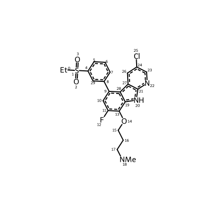 CCS(=O)(=O)c1cccc(-c2cc(F)c(OCCCNC)c3[nH]c4ncc(Cl)cc4c23)c1